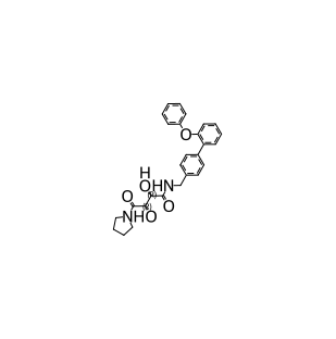 O=C(NCc1ccc(-c2ccccc2Oc2ccccc2)cc1)[C@H](O)[C@@H](O)C(=O)N1CCCC1